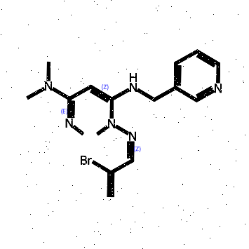 C=C(Br)/C=N\N(C)/C(=C\C(=N/C)N(C)C)NCc1cccnc1